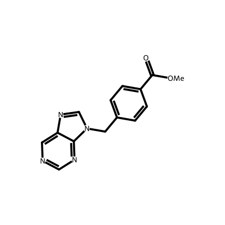 COC(=O)c1ccc(Cn2cnc3cncnc32)cc1